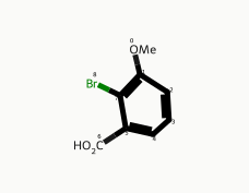 COc1cccc(C(=O)O)c1Br